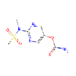 CN(c1ncc(OC(N)=O)cn1)S(C)(=O)=O